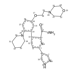 NC(=O)c1nc(-c2cn[nH]c2)ccc1-c1cc(OCCN2CCOCC2)ccc1N1CCCCC1